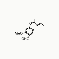 CC=CC(C)Oc1ccc(C=O)c(OC)c1